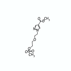 COC(=O)c1cnn(CCOCCOS(C)(=O)=O)c1